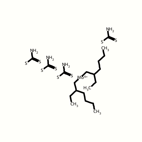 CCCCC(CC)[CH2][Mo+4][CH2]C(CC)CCCC.NC(=S)[S-].NC(=S)[S-].NC(=S)[S-].NC(=S)[S-]